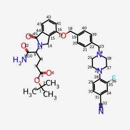 CC(C)(C)OC(=O)CCC(C(N)=O)N1Cc2c(OCc3ccc(CN4CCN(c5ccc(C#N)cc5F)CC4)cc3)cccc2C1=O